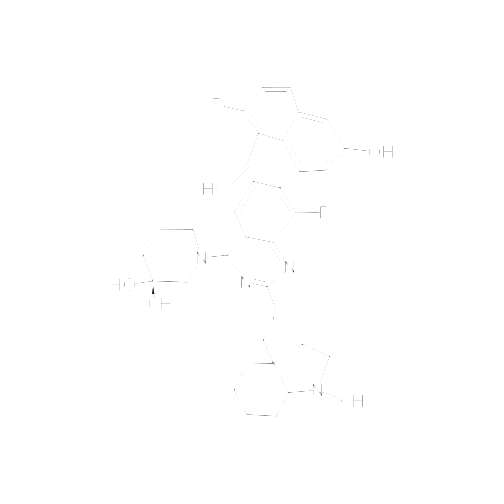 C#Cc1c(F)ccc2cc(O)cc(-c3ccc4c(N5CCC[C@@](C)(O)C5)nc(OCC56CCCCC5N(C)CC6)nc4c3F)c12